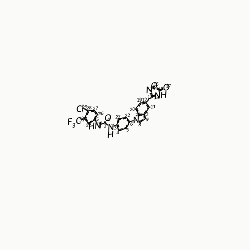 O=C(Nc1ccc(-n2ccc3cc(-c4noc(=O)[nH]4)ccc32)cc1)Nc1ccc(Cl)c(C(F)(F)F)c1